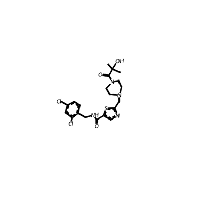 CC(C)(O)C(=O)N1CCN(Cc2ncc(C(=O)NCc3ccc(Cl)cc3Cl)s2)CC1